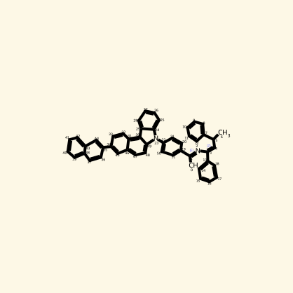 C/C(=N\C(=C/C(C)c1ccccc1)c1ccccc1)c1ccc(-n2c3ccccc3c3c4ccc(-c5ccc6ccccc6c5)cc4ccc32)cc1